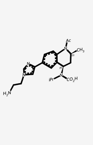 CC(=O)N1c2ccc(-c3cn(CCN)cn3)cc2[C@H](N(C(=O)O)C(C)C)C[C@@H]1C